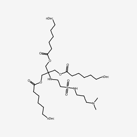 CCCCCCCCCCCCCCCC(=O)OCC(COC(=O)CCCCCCCCCCCCCCC)(COC(=O)CCCCCCCCCCCCCCC)NCCS(=O)(=O)NCCCN(C)C